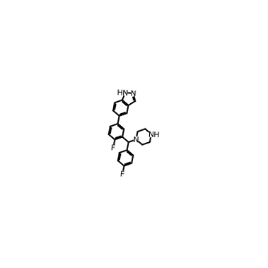 Fc1ccc(C(c2cc(-c3ccc4[nH]ncc4c3)ccc2F)N2CCNCC2)cc1